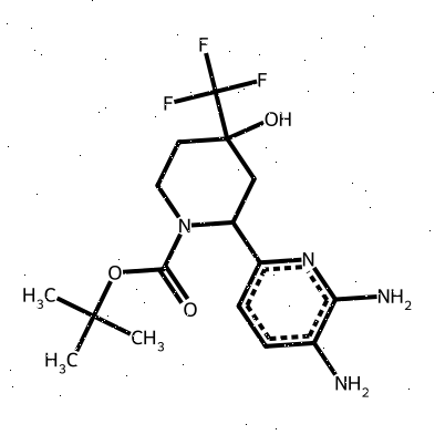 CC(C)(C)OC(=O)N1CCC(O)(C(F)(F)F)CC1c1ccc(N)c(N)n1